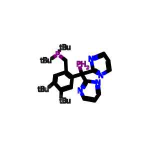 CC(C)(C)c1cc(CP(C(C)(C)C)C(C)(C)C)c(C(P)(c2ncccn2)c2ncccn2)cc1C(C)(C)C